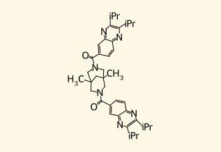 CC(C)c1nc2ccc(C(=O)N3CC4(C)CN(C(=O)c5ccc6nc(C(C)C)c(C(C)C)nc6c5)CC(C)(C3)C4)cc2nc1C(C)C